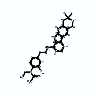 CC(=O)CN(C(=O)C(F)(F)F)c1ccc(CCNc2ncnc3c2sc2nc4c(cc23)COC(C)(C)C4)cc1F